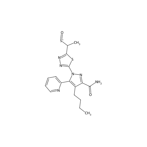 CCCCc1c(C(N)=O)nn(-c2nnc(C(C)[S+]=O)s2)c1-c1ccccn1